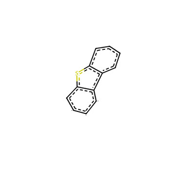 [c]1[c]cc2sc3ccccc3c2[c]1